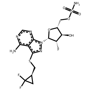 Nc1ncnc2c1c(SC[C@H]1CC1(F)F)nn2[C@@H]1O[C@H](COS(N)(=O)=O)[C@@H](O)[C@@H]1F